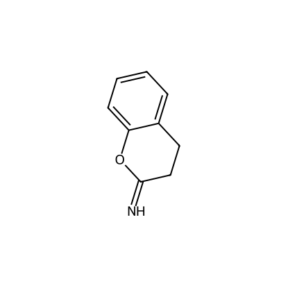 N=C1CCc2ccccc2O1